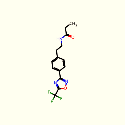 CCC(=O)NCCc1ccc(-c2noc(C(F)(F)F)n2)cc1